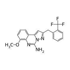 COc1cccc2c1nc(N)n1nc(Cc3ccccc3C(F)(F)F)cc21